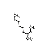 [CH2]C(CC)CCCCCC